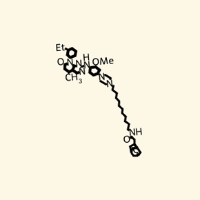 CCc1cccc(-n2c(=O)cc(C)c3cnc(Nc4ccc(N5CCN(CCCCCCCCCCCCNC(=O)CC67CC8CC(CC6C8)C7)CC5)cc4OC)nc32)c1